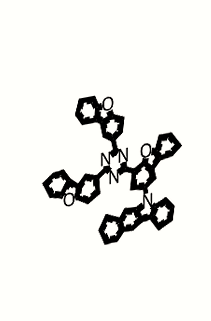 c1ccc2cc3c(cc2c1)c1ccccc1n3-c1cc(-c2nc(-c3ccc4oc5ccccc5c4c3)nc(-c3ccc4oc5ccccc5c4c3)n2)c2oc3ccccc3c2c1